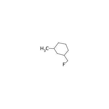 CC1CCCC(CF)C1